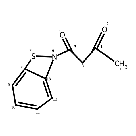 CC(=O)CC(=O)n1sc2ccccc21